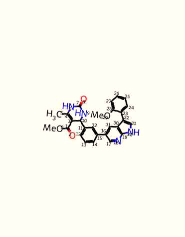 COC(=O)C1=C(C)NC(=O)NC1c1cccc(-c2cnc3[nH]cc(-c4ccccc4OC)c3c2)c1